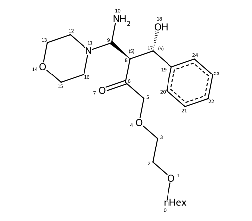 CCCCCCOCCOCC(=O)[C@@H](C(N)N1CCOCC1)[C@H](O)c1ccccc1